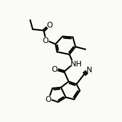 CCC(=O)Oc1ccc(C)c(NC(=O)c2c(C#N)ccc3cocc23)c1